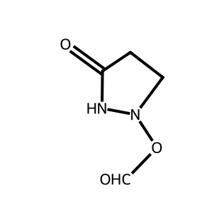 O=CON1CCC(=O)N1